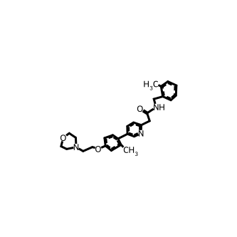 Cc1ccccc1CNC(=O)Cc1ccc(-c2ccc(OCCN3CCOCC3)cc2C)cn1